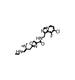 C=CN/C=C(/Cc1nc(C(=O)NCc2ncn3ccc(Cl)c(F)c23)co1)N(C)C